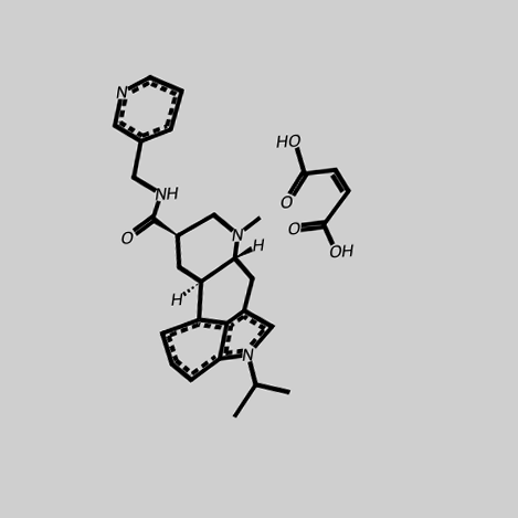 CC(C)n1cc2c3c(cccc31)[C@H]1C[C@@H](C(=O)NCc3cccnc3)CN(C)[C@@H]1C2.O=C(O)/C=C\C(=O)O